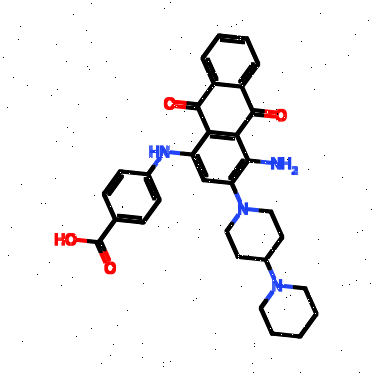 Nc1c(N2CCC(N3CCCCC3)CC2)cc(Nc2ccc(C(=O)O)cc2)c2c1C(=O)c1ccccc1C2=O